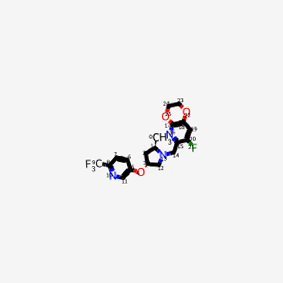 C[C@H]1C[C@@H](Oc2ccc(C(F)(F)F)nc2)CN1Cc1nc2c(cc1F)OCCO2